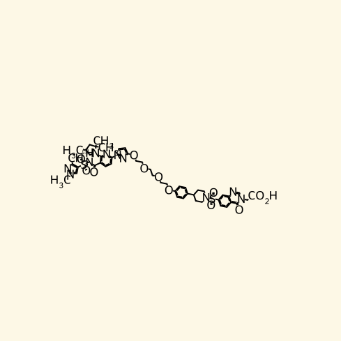 Cc1nn(C)cc1S(=O)(=O)NC(=O)c1ccc(-n2ccc(OCCOCCOCCOc3ccc(C4CCN(S(=O)(=O)c5ccc6c(=O)n(CC(=O)O)cnc6c5)CC4)cc3)n2)nc1N1C[C@@H](C)CC1(C)C